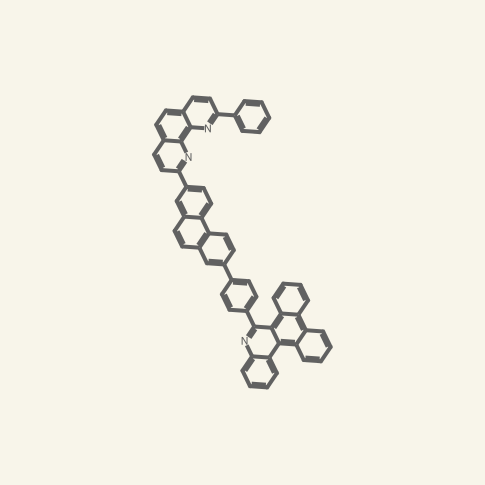 c1ccc(-c2ccc3ccc4ccc(-c5ccc6c(ccc7cc(-c8ccc(-c9nc%10ccccc%10c%10c%11ccccc%11c%11ccccc%11c9%10)cc8)ccc76)c5)nc4c3n2)cc1